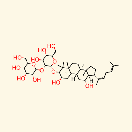 CC(C)=CC/C=C(/C)[C@H]1CC[C@]2(C)[C@@H]1[C@H](O)C[C@@H]1[C@@]3(C)C[C@@H](O)[C@H](O[C@H]4O[C@H](CO)[C@@H](O)[C@H](O)[C@H]4O[C@@H]4O[C@H](CO)[C@@H](O)[C@H](O)[C@H]4O)C(C)(C)[C@]3(C)CC[C@]12C